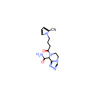 N#Cc1cccn1CC[CH]C(=O)N1CCn2cnnc2C1C(N)=O